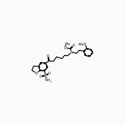 COc1ccccc1CCN(CCCCCC(=O)c1cc2c(c(S(N)(=O)=O)c1)OCC2)C(=O)OC(C)(C)C